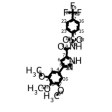 COc1cc(-c2cc(C(=O)NS(=O)(=O)c3ccc(C(F)(F)F)cc3)[nH]n2)cc(OC)c1OC